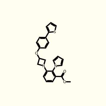 COC(=O)c1cccc(N2CC(Oc3ccc(-c4cccs4)cc3)C2)c1-n1cccc1